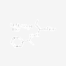 CC=C(CCCCCCCCC)OOC(C)c1ccccc1.N.O=S(=O)(O)O